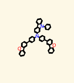 c1ccc(-n2c3ccccc3c3ccc(N(c4ccc(-c5ccc6oc7ccccc7c6c5)cc4)c4ccc(-c5ccc6oc7ccccc7c6c5)cc4)cc32)cc1